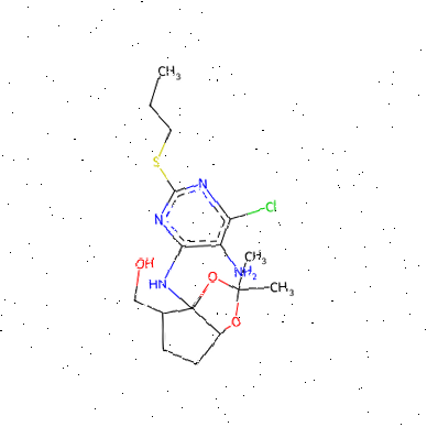 CCCSc1nc(Cl)c(N)c(NC23OC(C)(C)OC2CCC3CO)n1